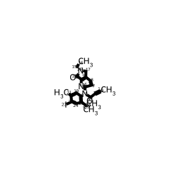 CC#CC(=O)N(c1ccc2c(n1)C(=O)N(CC)C2)c1cc(C)c(I)cc1C(C)C